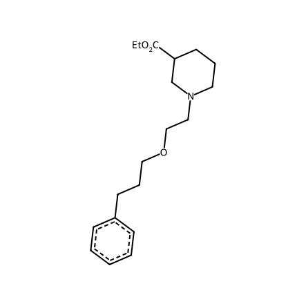 CCOC(=O)C1CCCN(CCOCCCc2ccccc2)C1